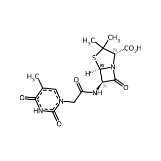 Cc1cn(CC(=O)N[C@@H]2C(=O)N3[C@@H]2SC(C)(C)[C@@H]3C(=O)O)c(=O)[nH]c1=O